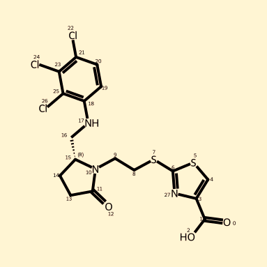 O=C(O)c1csc(SCCN2C(=O)CC[C@@H]2CNc2ccc(Cl)c(Cl)c2Cl)n1